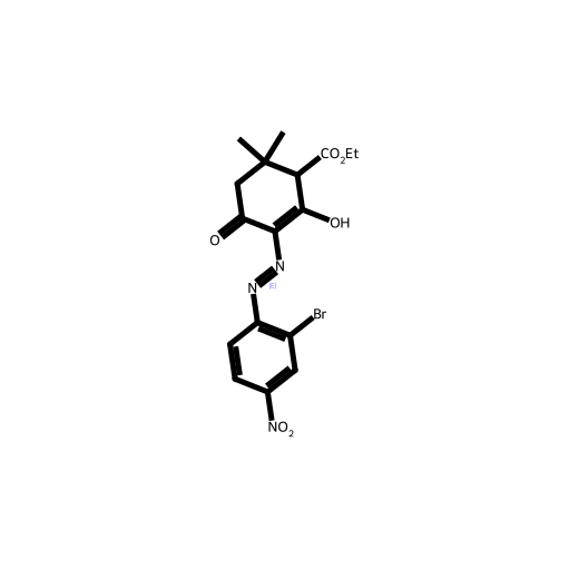 CCOC(=O)C1C(O)=C(/N=N/c2ccc([N+](=O)[O-])cc2Br)C(=O)CC1(C)C